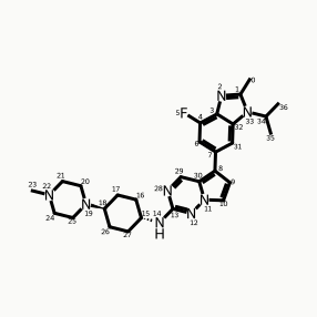 Cc1nc2c(F)cc(-c3ccn4nc(N[C@H]5CC[C@H](N6CCN(C)CC6)CC5)ncc34)cc2n1C(C)C